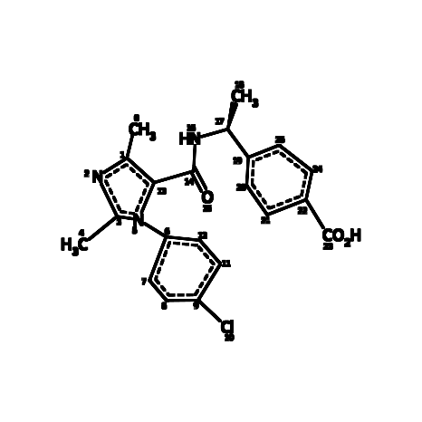 Cc1nc(C)n(-c2ccc(Cl)cc2)c1C(=O)N[C@@H](C)c1ccc(C(=O)O)cc1